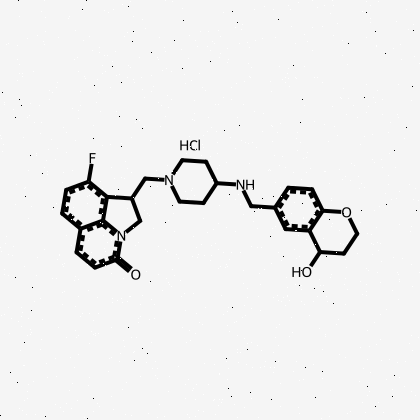 Cl.O=c1ccc2ccc(F)c3c2n1CC3CN1CCC(NCc2ccc3c(c2)C(O)CCO3)CC1